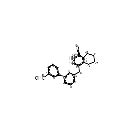 O=Cc1cccc(-c2cccc(Cc3n[nH]c(=O)c4c3CCCC4)c2)c1